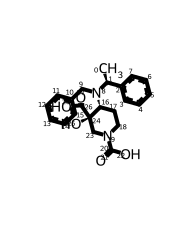 C[C@@H](c1ccccc1)N(Cc1ccccc1)[C@@H]1CCN(C(=O)O)C[C@]1(O)C(=O)O